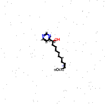 CCCCCCCC/C=C\CCCCCCCC(O)c1ccncn1